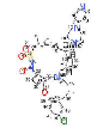 CO[C@@]1(CN2CCN(c3ccncc3)CC2)/C=C/C[C@H](C)[C@@H](C)S(=O)(=O)NC(=O)c2ccc3c(c2)N(CCCCc2cc(Cl)ccc2CO3)C[C@@H]2CC[C@H]21